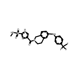 CNS(=O)(=O)c1nc(C(=O)N2CCc3cc(Nc4ccc(C(F)(F)F)cc4)ccc3C2)c[nH]1